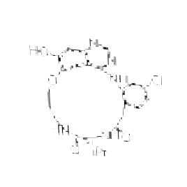 CC(C)[C@@H]1NC(=O)Cc2ccc(Cl)cc2Nc2ncnc3cc(O)c(cc23)OCCCNC1=O